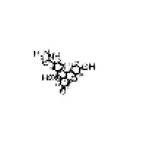 NNC(=O)c1ccc(-c2c3ccc(=O)cc-3oc3cc(O)ccc23)c(C(=O)O)c1